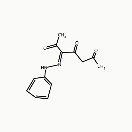 CC(=O)CC(=O)/C(=N/Nc1ccccc1)C(C)=O